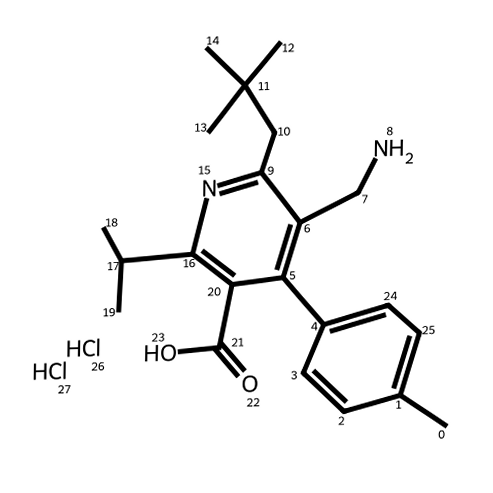 Cc1ccc(-c2c(CN)c(CC(C)(C)C)nc(C(C)C)c2C(=O)O)cc1.Cl.Cl